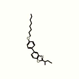 CCCCCCCCOc1ccc(-c2ccc3oc(C(C)CC)nc3c2)cc1